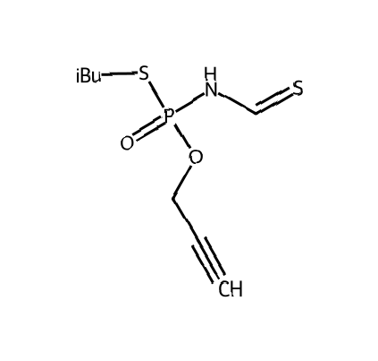 C#CCOP(=O)(NC=S)SC(C)CC